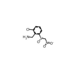 NCc1c(Cl)cccc1[S+]([O-])C[N+](=O)[O-]